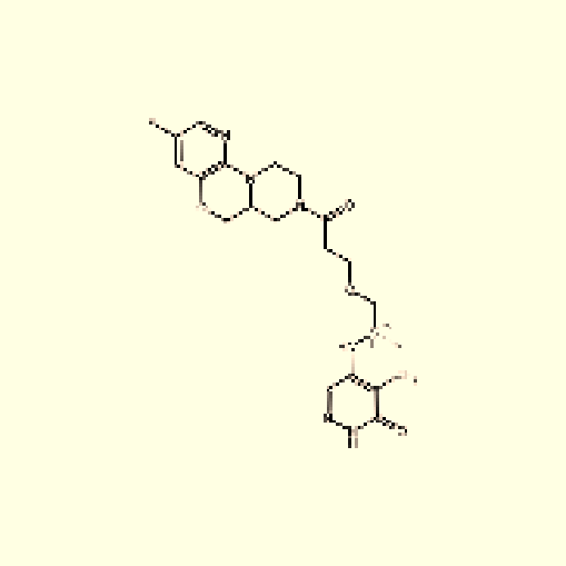 C[Si@@H](COCCC(=O)N1CCN2c3ncc(F)cc3OCC2C1)Nc1cn[nH]c(=O)c1C(F)(F)F